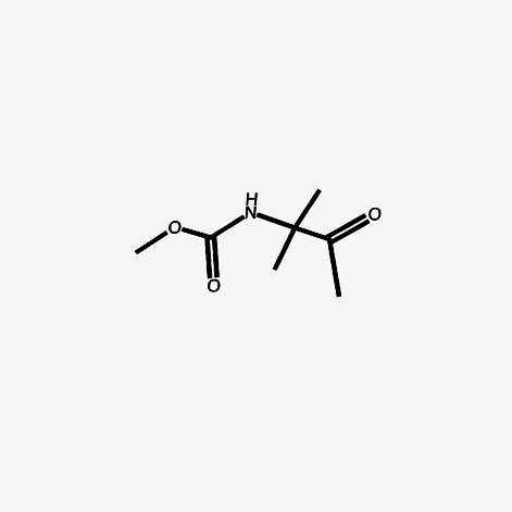 COC(=O)NC(C)(C)C(C)=O